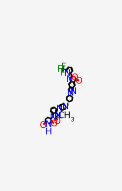 Cn1c(=O)n(C2CCC(=O)NC2=O)c2cccc(N3CCN(C[C@H]4CC[C@H](n5cc6cc7nc(-c8cccc(C(F)(F)F)n8)oc(=O)c7cc6n5)CC4)CC3)c21